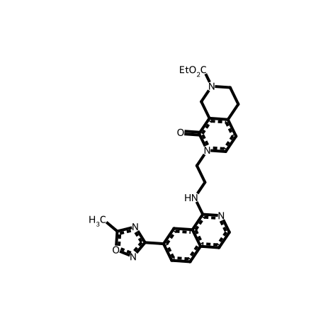 CCOC(=O)N1CCc2ccn(CCNc3nccc4ccc(-c5noc(C)n5)cc34)c(=O)c2C1